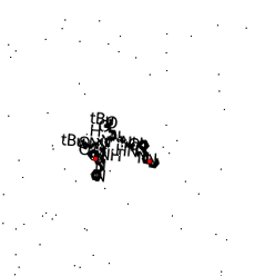 CC(C)(C)OC(=O)CCN(CCNCC(=O)NCCN(Cc1ccccn1)Cc1ccccn1)CCN(CCNCC(=O)OC(C)(C)C)CC(=O)NCCN(Cc1ccccn1)Cc1ccccn1